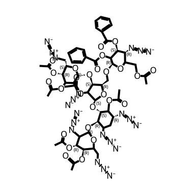 CC(=O)OCC1O[C@@H](OC[C@H]2O[C@@H](O[C@@H]3C(OC(C)=O)[C@H](N=[N+]=[N-])CC(N=[N+]=[N-])[C@H]3O[C@H]3OC(CN=[N+]=[N-])[C@@H](OC(C)=O)[C@H](OC(C)=O)C3N=[N+]=[N-])C(OC(C)=O)[C@H]2O[C@H]2O[C@@H](CN=[N+]=[N-])[C@@H](OC(C)=O)C(OC(C)=O)C2N=[N+]=[N-])C(OC(=O)c2ccccc2)[C@@H](OC(=O)c2ccccc2)[C@@H]1N=[N+]=[N-]